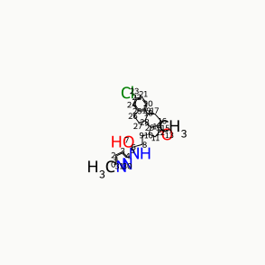 Cc1ccc(NC(O)CC[C@@H]2CC(=O)[C@@]3(C)CCC4c5ccc(Cl)cc5CCC4C23)nn1